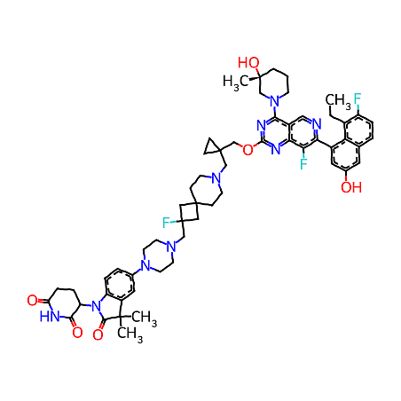 CCc1c(F)ccc2cc(O)cc(-c3ncc4c(N5CCC[C@@](C)(O)C5)nc(OCC5(CN6CCC7(CC6)CC(F)(CN6CCN(c8ccc9c(c8)C(C)(C)C(=O)N9C8CCC(=O)NC8=O)CC6)C7)CC5)nc4c3F)c12